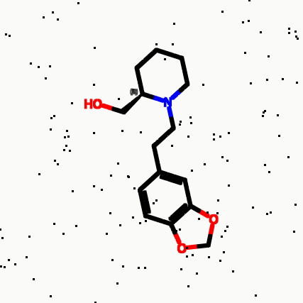 OC[C@H]1CCCCN1CCc1ccc2c(c1)OCO2